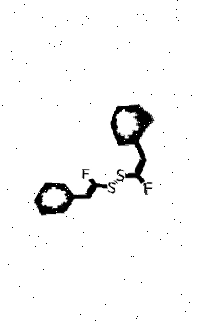 FC(=Cc1ccccc1)SSC(F)=Cc1ccccc1